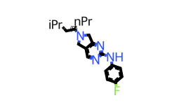 CCC[C@H](CC(C)C)N1Cc2cnc(Nc3ccc(F)cc3)nc2C1